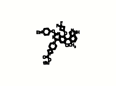 CCN1CCC(Oc2nc(N3CCC4(CC3)CN(C(=O)OC(C)(C)C)C4)c3cc(Cl)c(-c4c(C)ccc5[nH]ncc45)c(OC4CC(F)(F)C4)c3n2)CC1